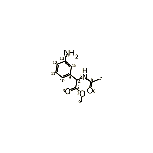 COC(=O)C(NC(C)=O)c1cccc(N)c1